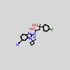 CC1(n2c(NC(O)C[C@](C)(O)c3ccc(F)cc3)nc3ccc(C#N)cc32)CCC1